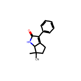 CC1(C#N)CCC2=C(c3ccccc3)C(=O)NC21